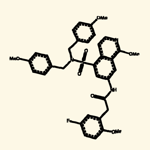 COc1ccc(CN(Cc2ccc(OC)cc2)S(=O)(=O)c2cc(NC(=O)Cc3cc(F)ccc3OC)cc3c(OC)nccc23)cc1